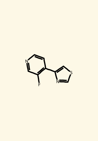 Fc1cnccc1-c1cscn1